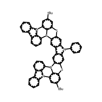 CC(C)(C)c1cc2c3c(c1)-n1c4ccccc4c4cccc(c41)B3c1cc3c4cc5c(cc4n(-c4ccccc4)c3cc1S2)Sc1cc(C(C)(C)C)cc2c1B5c1cccc3c4ccccc4n-2c13